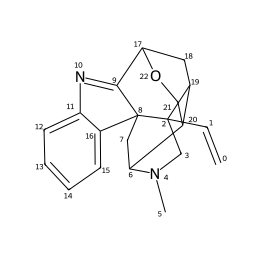 C=CC12CN(C)C3CC14C(=Nc1ccccc14)C1CC2C3CO1